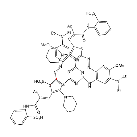 CCN(CC)c1cc(Nc2nc(Nc3cc(N(CC)CC)c(OC)cc3/N=N/c3nc(N4CCCCC4)c(/C=C(\C(C)=O)C(=O)Nc4ccccc4S(=O)(=O)O)s3)nc(SCCS(=O)(=O)O)n2)c(/N=N/c2nc(N3CCCCC3)c(/C=C(/C(C)=O)C(=O)Nc3ccccc3S(=O)(=O)O)s2)cc1OC